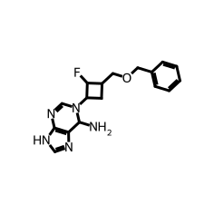 NC1c2nc[nH]c2N=CN1C1CC(COCc2ccccc2)C1F